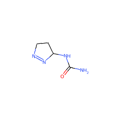 NC(=O)NC1CCN=N1